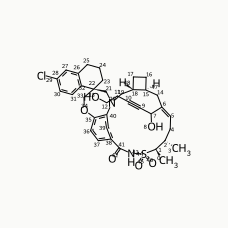 C[C@@H]1[C@@H](C)C/C=C(\C(O)C#CCCO)C[C@@H]2CC[C@H]2CN2C[C@@]3(CCCc4cc(Cl)ccc43)COc3ccc(cc32)C(=O)NS1(=O)=O